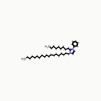 CCCCCCCCCCCCCCCCCCCN1C=CN(c2ccccc2)C1CCCCCCCCC